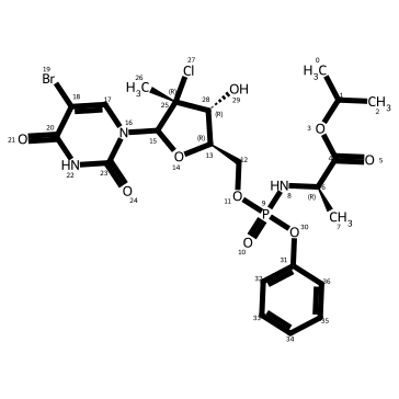 CC(C)OC(=O)[C@@H](C)NP(=O)(OC[C@H]1OC(n2cc(Br)c(=O)[nH]c2=O)[C@](C)(Cl)[C@@H]1O)Oc1ccccc1